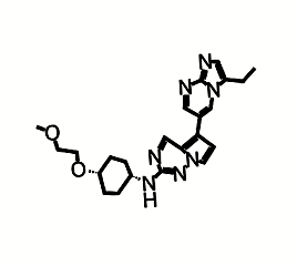 CCc1cnc2ncc(-c3ccn4nc(N[C@H]5CC[C@@H](OCCOC)CC5)ncc34)cn12